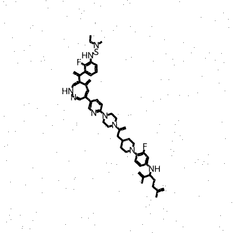 C=C(C)CCC(Nc1ccc(N2CCC(CC(=C)N3CCN(c4ccc(C5=C/C(=C)/C(C(=C)c6cccc(NSN(C)CC)c6F)=C\N/N=C\5)cn4)CC3)CC2)c(F)c1)C(=C)C